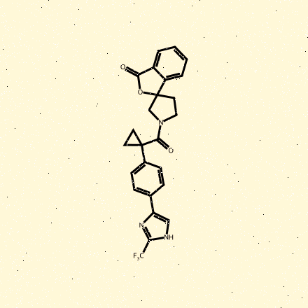 O=C1OC2(CCN(C(=O)C3(c4ccc(-c5c[nH]c(C(F)(F)F)n5)cc4)CC3)C2)c2ccccc21